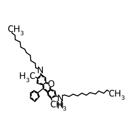 CCCCCCCCCCCC/N=c1/cc2oc3cc(NCCCCCCCCCCCC)c(C)cc3c(-c3ccccc3)c-2cc1C